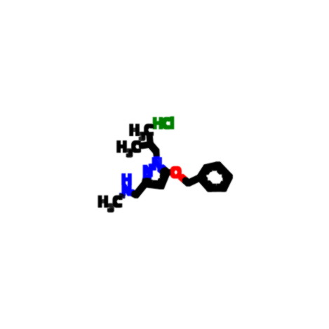 CNCc1cc(OCc2ccccc2)n(CC(C)C)n1.Cl